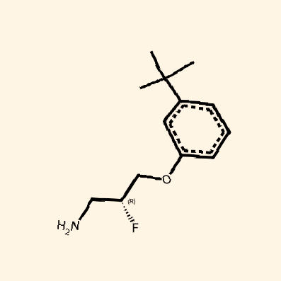 CC(C)(C)c1cccc(OC[C@H](F)CN)c1